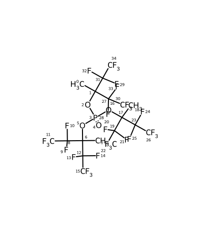 CC(OP(=O)(OC(C)(C(F)(F)C(F)(F)F)C(F)(F)C(F)(F)F)OC(C)(C(F)(F)C(F)(F)F)C(F)(F)C(F)(F)F)(C(F)(F)C(F)(F)F)C(F)(F)C(F)(F)F